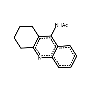 CC(=O)Nc1c2c(nc3ccccc13)CCCC2